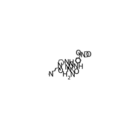 CN(C)CC=CC(=O)N1CCCC(Nc2nnc(C(N)=O)c(Nc3ccc(C(=O)N4CCOCC4)cc3)n2)C1